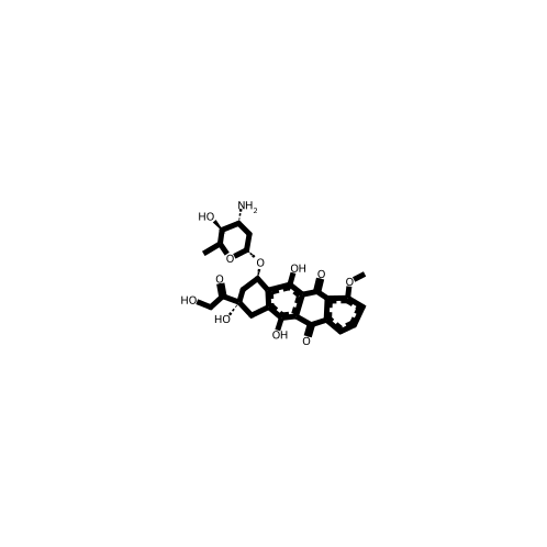 COc1cccc2c1C(=O)c1c(O)c3c(c(O)c1C2=O)C[C@@](O)(C(=O)CO)C[C@@H]3O[C@H]1C[C@@H](N)[C@H](O)C(C)O1